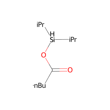 CCC[CH]C(=O)O[SiH](C(C)C)C(C)C